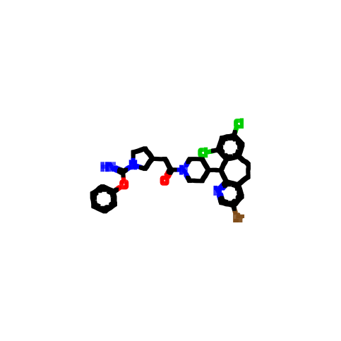 N=C(Oc1ccccc1)N1CCC(CC(=O)N2CCC(C3c4ncc(Br)cc4CCc4cc(Cl)cc(Cl)c43)CC2)C1